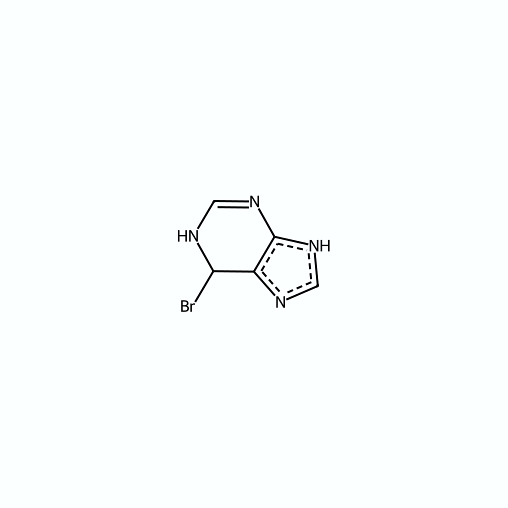 BrC1NC=Nc2[nH]cnc21